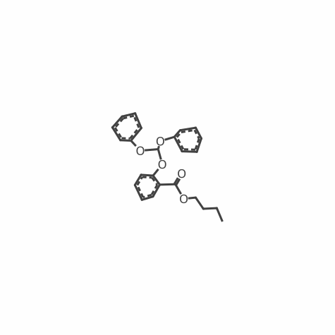 CCCCOC(=O)c1ccccc1OC(Oc1ccccc1)Oc1ccccc1